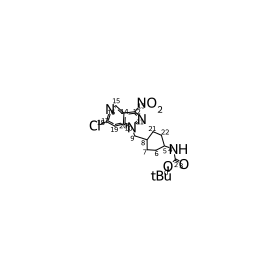 CC(C)(C)OC(=O)NC1CCC(Cn2nc([N+](=O)[O-])c3cnc(Cl)cc32)CC1